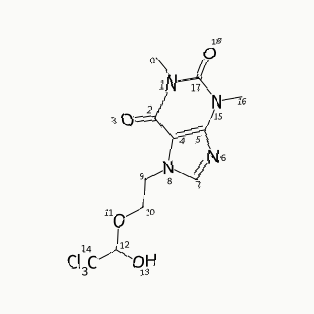 Cn1c(=O)c2c(ncn2CCOC(O)C(Cl)(Cl)Cl)n(C)c1=O